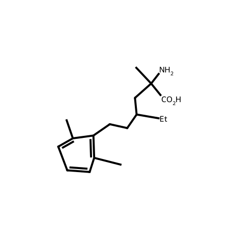 CCC(CCc1c(C)cccc1C)CC(C)(N)C(=O)O